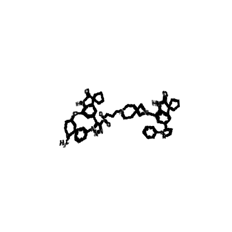 CN1CCC(Oc2cc(-c3c(S(=O)(=O)CCCN4CCC5(CC4)CN(c4cc(-c6ccnn6-c6ccccc6)cc6c4NC(=O)C64CCCC4)C5)nnn3-c3ccccc3)cc3c2NC(=O)C32CCCC2)CC1